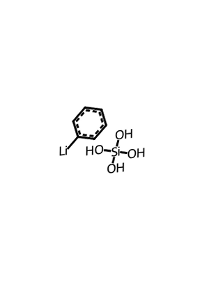 O[Si](O)(O)O.[Li][c]1ccccc1